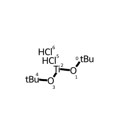 CC(C)(C)[O][Ti][O]C(C)(C)C.Cl.Cl